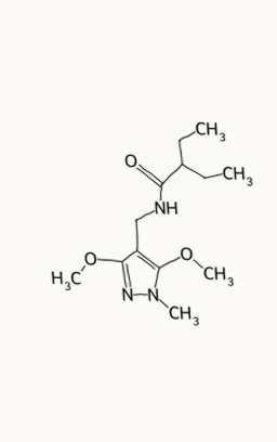 CCC(CC)C(=O)NCc1c(OC)nn(C)c1OC